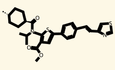 COC(=O)c1cc(-c2ccc(/C=C/c3cscn3)cc2)sc1N(C(=O)[C@H]1CC[C@H](C)CC1)C(C)C